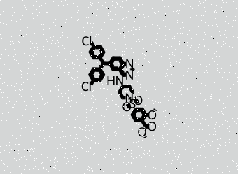 COC(=O)c1ccc(S(=O)(=O)N2CCC(Nc3ncnc4ccc(C(c5ccc(Cl)cc5)c5ccc(Cl)cc5)cc34)CC2)cc1OC